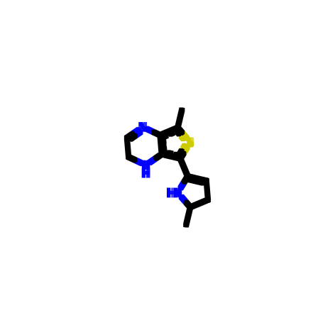 Cc1sc(C2=CCC(C)N2)c2c1N=CCN2